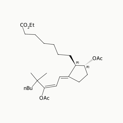 CCCCC(C)(C)C(=CC=C1CC[C@@H](OC(C)=O)[C@@H]1CCCCCCC(=O)OCC)OC(C)=O